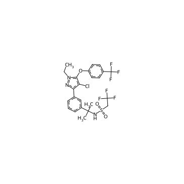 CCn1nc(-c2cccc(C(C)(C)NS(=O)(=O)CC(F)(F)F)c2)c(Cl)c1Oc1ccc(C(F)(F)F)cc1